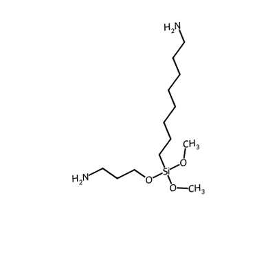 CO[Si](CCCCCCCCN)(OC)OCCCN